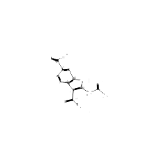 NC(=O)Nc1[nH]c2cc(C(=O)O)ccc2c1C(N)=O